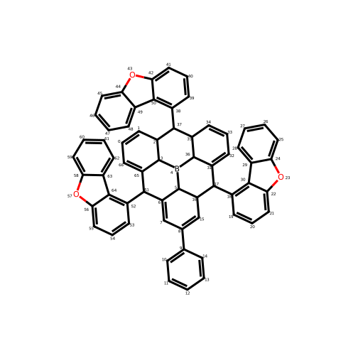 C1=CC2C3B4C5C(=CC(c6ccccc6)=CC5C(c5cccc6oc7ccccc7c56)C5=CC=CC(C45)C2c2cccc4oc5ccccc5c24)C(c2cccc4oc5ccccc5c24)C3=C1